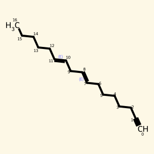 C#CCCCCC/C=C/C/C=C/CCCCC